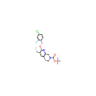 CC(C)(C)OC(=O)N1CCc2cc(CF)c(OCc3ccc(Cl)cc3F)nc2C1